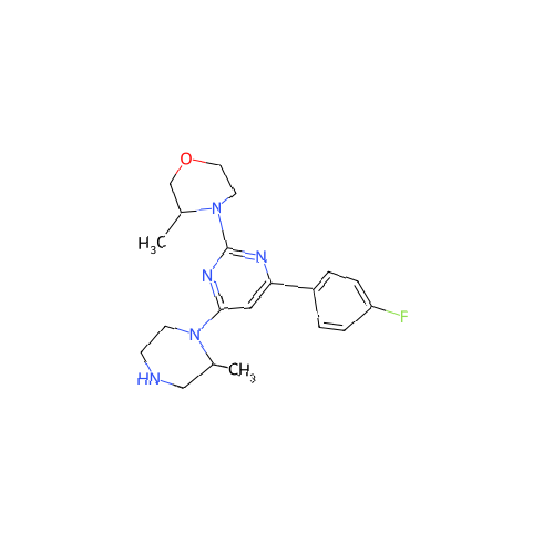 CC1CNCCN1c1cc(-c2ccc(F)cc2)nc(N2CCOCC2C)n1